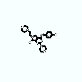 O=C1c2nc(N3CCOCC3)nc(Nc3ccc(Cl)cc3)c2CN1CCN1CCOCC1